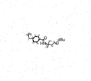 CC(C)Cc1ccc(C(=O)NC(C)(C)CCOC(C)(C)C)cc1